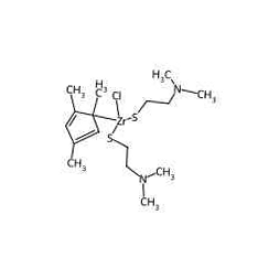 CC1=C[C](C)([Zr]([Cl])([S]CCN(C)C)[S]CCN(C)C)C(C)=C1